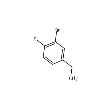 [CH2]Cc1ccc(F)c(Br)c1